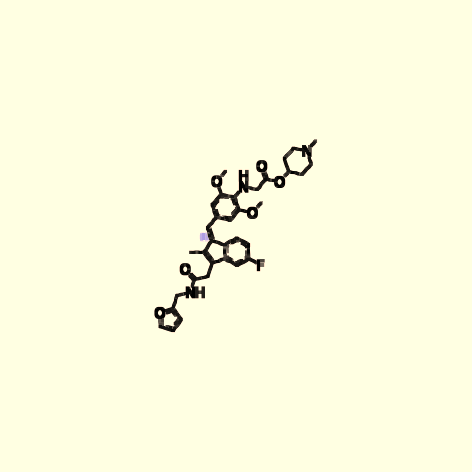 COc1cc(/C=C2/C(C)=C(CC(=O)NCc3ccco3)c3cc(F)ccc32)cc(OC)c1NCC(=O)OC1CCN(C)CC1